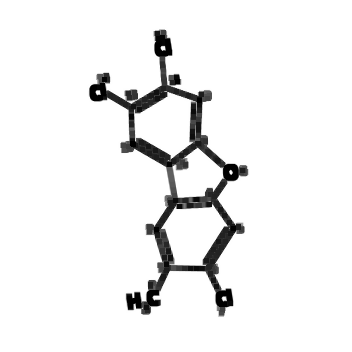 Cc1cc2c(cc1Cl)oc1cc(Cl)c(Cl)cc12